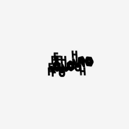 O=C(NCC1CCC(NC(=O)[C@H]2CC[C@@H](c3ccccc3)N2)CC1)c1cc(C(F)(F)F)cc(C(F)(F)F)c1